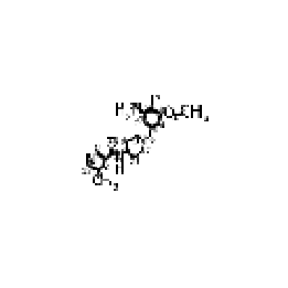 CCOc1cc(CN2CCC(NC(=O)c3cncc(C)c3)CC2)cc(N)c1I